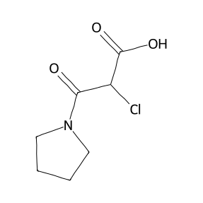 O=C(O)C(Cl)C(=O)N1CCCC1